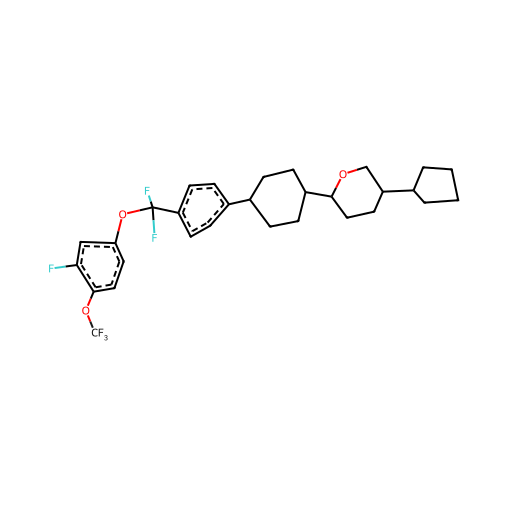 Fc1cc(OC(F)(F)c2ccc(C3CCC(C4CCC(C5CCCC5)CO4)CC3)cc2)ccc1OC(F)(F)F